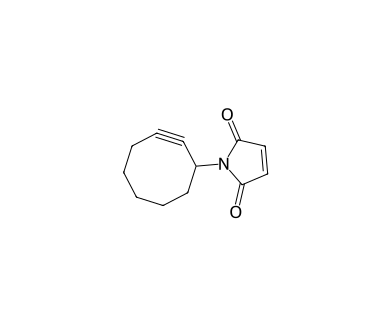 O=C1C=CC(=O)N1C1C#CCCCCC1